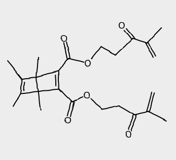 C=C(C)C(=O)CCOC(=O)C1=C(C(=O)OCCC(=O)C(=C)C)C2(C)C(C)=C(C)C12C